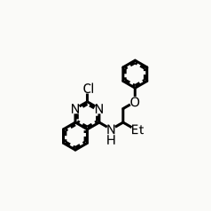 CCC(COc1ccccc1)Nc1nc(Cl)nc2ccccc12